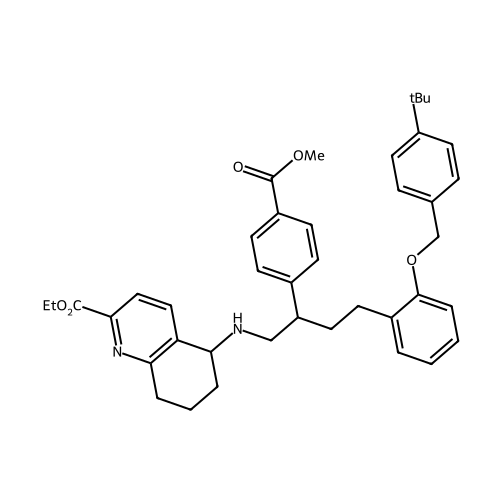 CCOC(=O)c1ccc2c(n1)CCCC2NCC(CCc1ccccc1OCc1ccc(C(C)(C)C)cc1)c1ccc(C(=O)OC)cc1